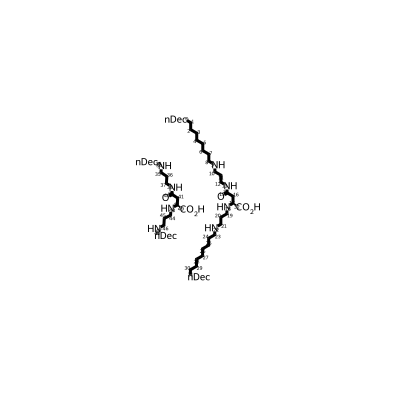 CCCCCCCCCCCCCCCCCCNCCCNC(=O)C[C@H](NCCCNCCCCCCCCCCCCCCCCCC)C(=O)O.CCCCCCCCCCNCCCNC(=O)C[C@H](NCCCNCCCCCCCCCC)C(=O)O